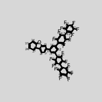 Fc1c(F)c(F)c(-c2c(F)c(F)c(-c3cc(-c4ccc5c(c4)oc4ccccc45)cc(-c4c(F)c(F)c(-c5c(F)c(F)c(F)c(F)c5F)c(F)c4F)c3)c(F)c2F)c(F)c1F